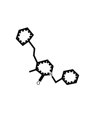 Cc1c(CCc2ccccc2)ccn(Cc2ccccc2)c1=O